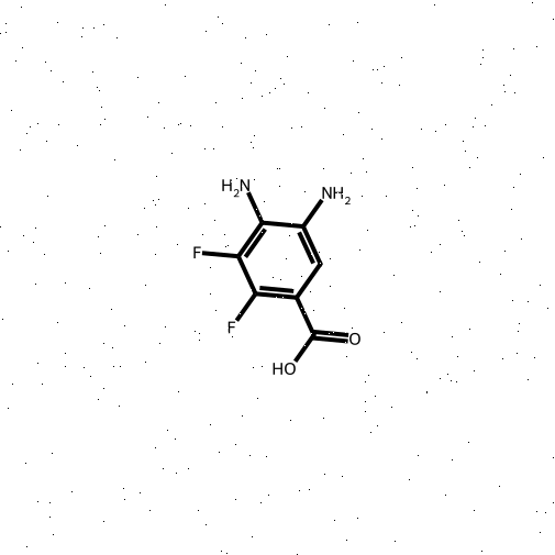 Nc1cc(C(=O)O)c(F)c(F)c1N